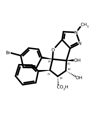 Cn1cc2c(n1)[C@]1(O)[C@H](O)[C@H](C(=O)O)[C@@H](c3ccccc3)[C@]1(c1ccc(Br)cc1)O2